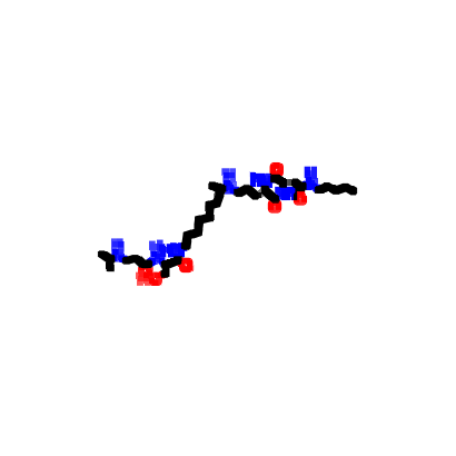 CCCCCNC(=O)C[C@@H]1NC(=O)[C@H](CCCNC(C)CCCCCCCNC(=O)[C@@H](CO)NC(=O)CCNC(C)C)NC1=O